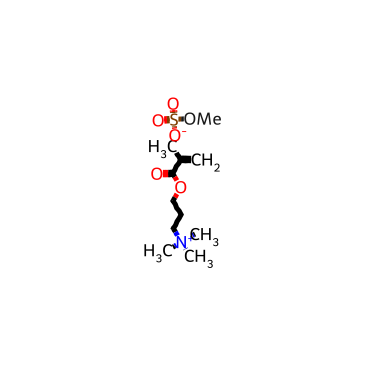 C=C(C)C(=O)OCCC[N+](C)(C)C.COS(=O)(=O)[O-]